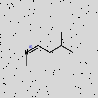 C/N=C\CC(C)C